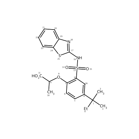 CCC(C)(C)c1ccc(OC(C)C(=O)O)c(S(=O)(=O)Nc2nc3ccccc3s2)c1